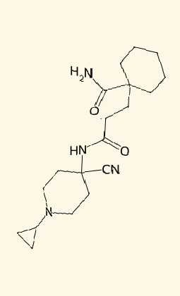 N#CC1(NC(=O)[CH]CC2(C(N)=O)CCCCC2)CCN(C2CC2)CC1